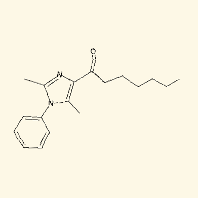 CCCCCCC(=O)c1nc(C)n(-c2ccccc2)c1C